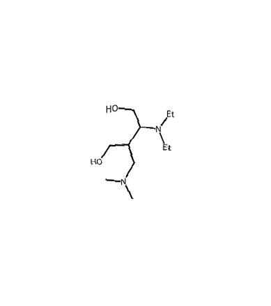 CCN(CC)C(CO)C(CO)CN(C)C